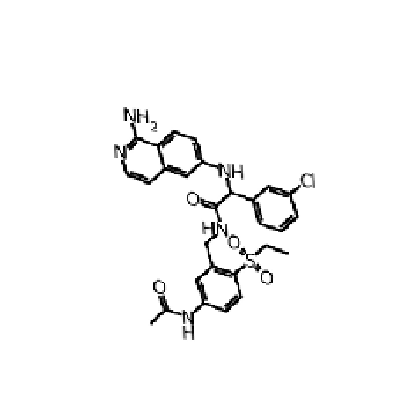 CCS(=O)(=O)c1ccc(NC(C)=O)cc1CNC(=O)C(Nc1ccc2c(N)nccc2c1)c1cccc(Cl)c1